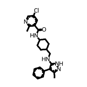 Cc1ncc(Cl)cc1C(=O)NC1CCC(CNc2[nH]nc(C)c2-c2ccccc2)CC1